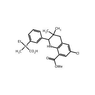 CC[N+](C)(C(=O)O)c1cccc(C2Nc3c(cc(Cl)cc3C(=O)OC)CC2(C)C)c1